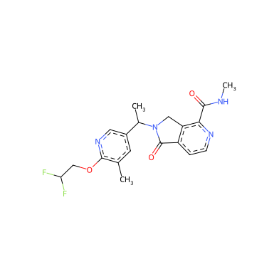 CNC(=O)c1nccc2c1CN(C(C)c1cnc(OCC(F)F)c(C)c1)C2=O